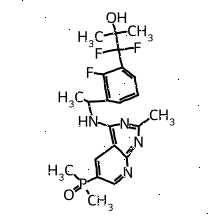 Cc1nc(NC(C)c2cccc(C(F)(F)C(C)(C)O)c2F)c2cc(P(C)(C)=O)cnc2n1